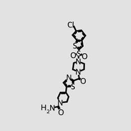 NC(=O)N1CC=C(c2cnc(C(=O)N3CCN(S(=O)(=O)c4cc5ccc(Cl)cc5s4)CC3)s2)CC1